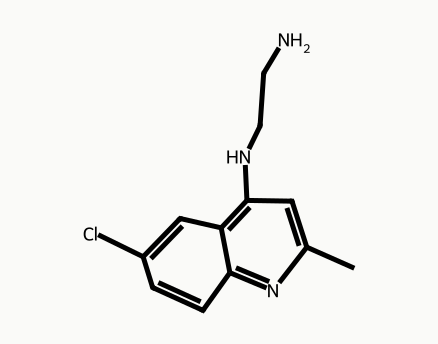 Cc1cc(NCCN)c2cc(Cl)ccc2n1